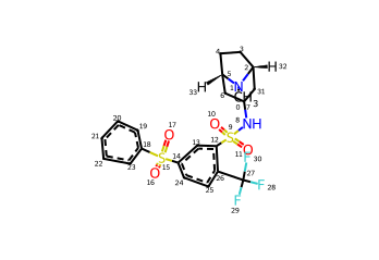 CN1[C@@H]2CC[C@H]1CC(NS(=O)(=O)c1cc(S(=O)(=O)c3ccccc3)ccc1C(F)(F)F)C2